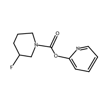 O=C(Oc1ccccn1)N1CCCC(F)C1